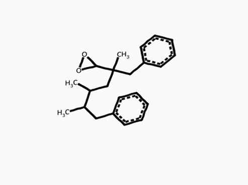 CC(Cc1ccccc1)C(C)CC(C)(Cc1ccccc1)C1OO1